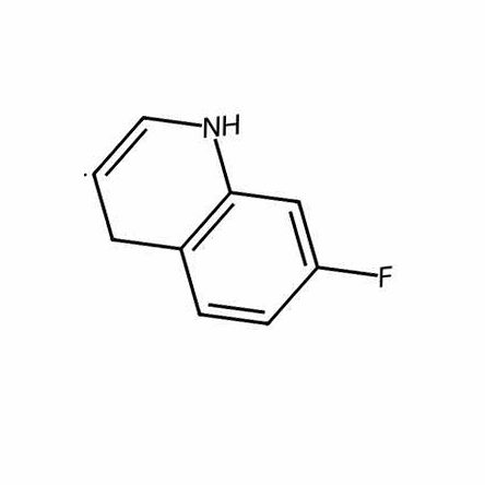 Fc1ccc2c(c1)NC=[C]C2